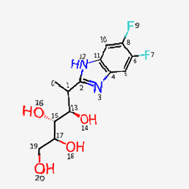 CC(c1nc2cc(F)c(F)cc2[nH]1)[C@@H](O)[C@@H](O)C(O)CO